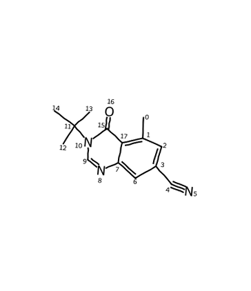 Cc1cc(C#N)cc2ncn(C(C)(C)C)c(=O)c12